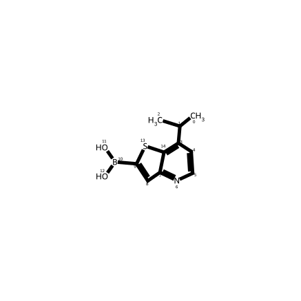 CC(C)c1ccnc2cc(B(O)O)sc12